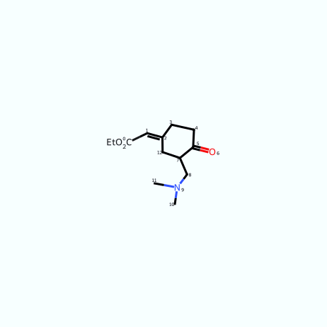 CCOC(=O)/C=C1/CCC(=O)C(CN(C)C)C1